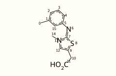 Cc1cccc(N=c2sc(CC(=O)O)cn2C)c1